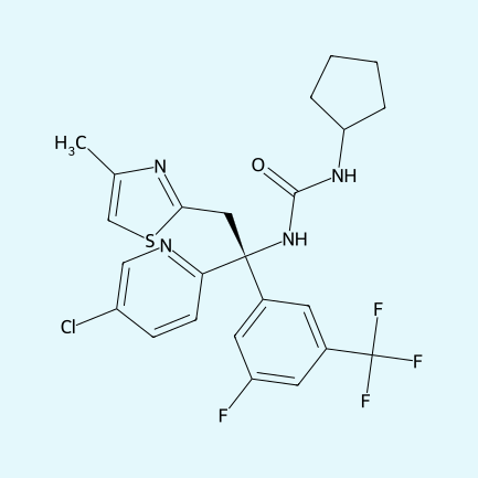 Cc1csc(C[C@@](NC(=O)NC2CCCC2)(c2cc(F)cc(C(F)(F)F)c2)c2ccc(Cl)cn2)n1